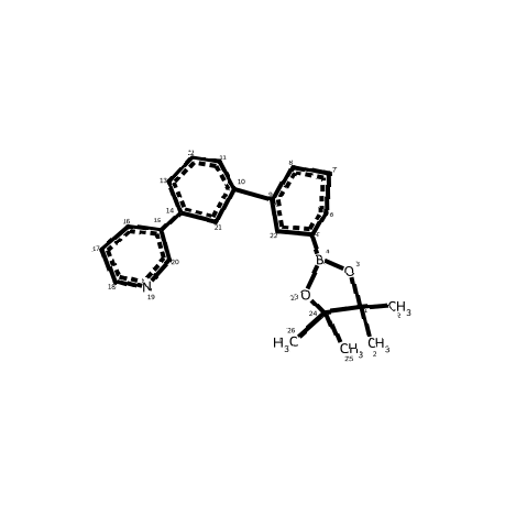 CC1(C)OB(c2cccc(-c3cccc(-c4cccnc4)c3)c2)OC1(C)C